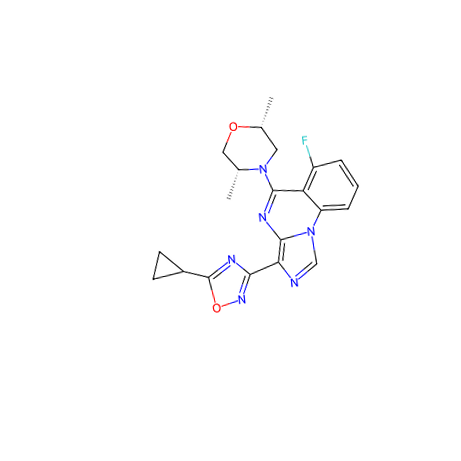 C[C@@H]1CN(c2nc3c(-c4noc(C5CC5)n4)ncn3c3cccc(F)c23)[C@H](C)CO1